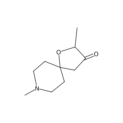 CC1OC2(CCN(C)CC2)CC1=O